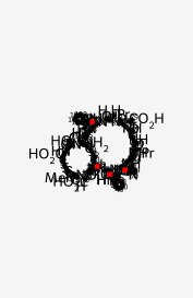 CN[C@H]1CSSC[C@@H](C(=O)O)NC(=O)[C@H]([C@@H](C)O)NC(=O)[C@@]2(N)CSSC[C@H](NC(=O)[C@H](CC(=O)O)NC1=O)C(=O)N[C@@H](C)C(=O)N[C@@H](Cc1c[nH]c3ccccc13)C(=O)N[C@@H](Cc1cnc[nH]1)C(=O)N[C@@H](CC(C)C)C(=O)NCC(=O)N[C@@H](CCC(=O)O)C(=O)N[C@@H](CC(C)C)C(=O)N[C@@H](C(C)C)C(=O)N[C@@H](Cc1c[nH]c3ccccc13)C(=O)C2